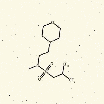 CN(CCN1CCOCC1)S(=O)(=O)CC(C(F)(F)F)C(F)(F)F